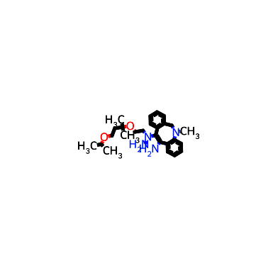 CC(C)OCCC(C)(C)OCCN(N)/C1=C(\N)c2ccccc2N(C)Cc2ccccc21